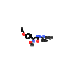 C=CCOc1ccc(/C(CC(=O)N/C(=N/C(=O)O)SC)=N\OCC)cc1